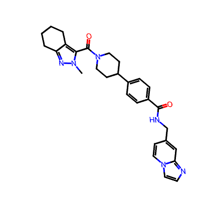 Cn1nc2c(c1C(=O)N1CCC(c3ccc(C(=O)NCc4ccn5ccnc5c4)cc3)CC1)CCCC2